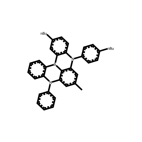 CCCCc1ccc(N2c3ccc(CCCC)cc3B3c4ccccc4N(c4ccccc4)c4cc(C)cc2c43)cc1